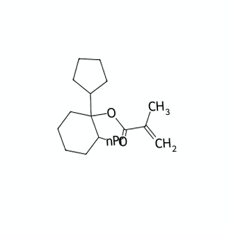 C=C(C)C(=O)OC1(C2CCCC2)CCCCC1CCC